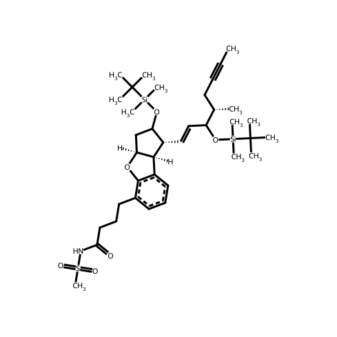 CC#CC[C@H](C)C(/C=C/[C@H]1C(O[Si](C)(C)C(C)(C)C)C[C@@H]2Oc3c(CCCC(=O)NS(C)(=O)=O)cccc3[C@@H]21)O[Si](C)(C)C(C)(C)C